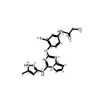 Cc1cc(Nc2nc(Sc3ccc(NC(=O)CCl)cc3F)nc3cccn23)n[nH]1